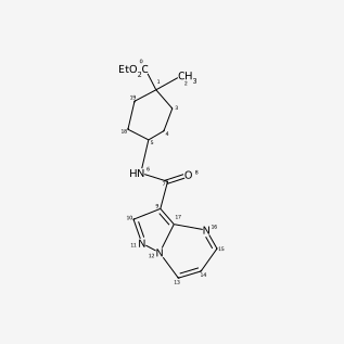 CCOC(=O)C1(C)CCC(NC(=O)c2cnn3cccnc23)CC1